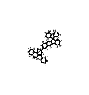 c1ccc(-c2nc(-c3ccc4cc5c(cc4c3)-c3ccccc3C5(c3ccccc3)c3ccccc3)nc3c2ccc2ccccc23)cc1